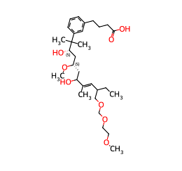 CCC(C=C(C)C(O)C[C@@H](C[C@H](O)C(C)(C)c1cccc(CCCC(=O)O)c1)OC)COCOCCOC